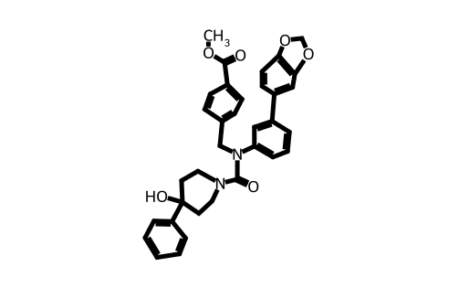 COC(=O)c1ccc(CN(C(=O)N2CCC(O)(c3ccccc3)CC2)c2cccc(-c3ccc4c(c3)OCO4)c2)cc1